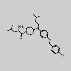 CC(C)CCN(c1ccc(CCc2ccc(Cl)cc2)cc1)C1CCN(C(=O)[C@H](N)CC(C)C)CC1